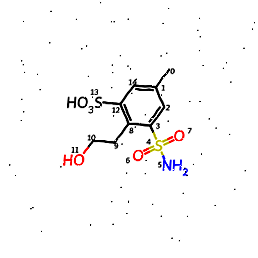 Cc1cc(S(N)(=O)=O)c(CCO)c(S(=O)(=O)O)c1